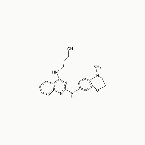 CN1CCOc2cc(Nc3nc(NCCCO)c4ccccc4n3)ccc21